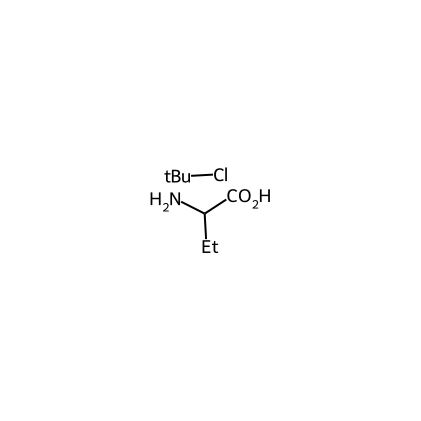 CC(C)(C)Cl.CCC(N)C(=O)O